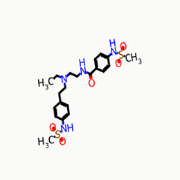 CCN(CCNC(=O)c1ccc(NS(C)(=O)=O)cc1)CCc1ccc(NS(C)(=O)=O)cc1